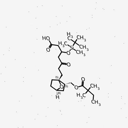 CCC(C)(C)C(=O)OC[C@@H]1C[C@H]2CC[C@@]1(CCC(=O)CC(CC(=O)O)O[Si](C)(C)C(C)(C)C)O2